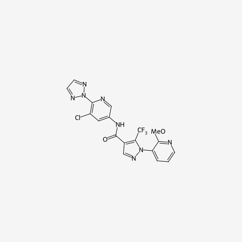 COc1ncccc1-n1ncc(C(=O)Nc2cnc(-n3nccn3)c(Cl)c2)c1C(F)(F)F